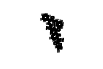 Cc1c(NC(=O)OC(C)(C)C)ccc2nc(NCCC(C(=O)NCc3cccnc3)c3ccccc3)oc(=O)c12